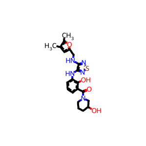 Cc1cc(CNc2nsnc2Nc2cccc(C(=O)N3CCCC(O)C3)c2O)oc1C